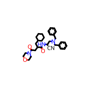 N#CC(CN(Cc1ccccc1)Cc1ccccc1)NC(=O)C(CC(=O)N1CCOCC1)CC1CCCCC1